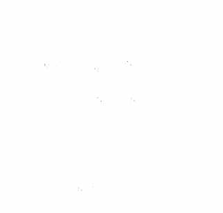 COc1ccccc1N1CN(S(=O)(=O)c2ccc(NC(C)=O)cc2)c2nc3ccccc3nc21